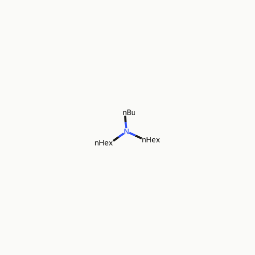 [CH2]CCCN(CCCCCC)CCCCCC